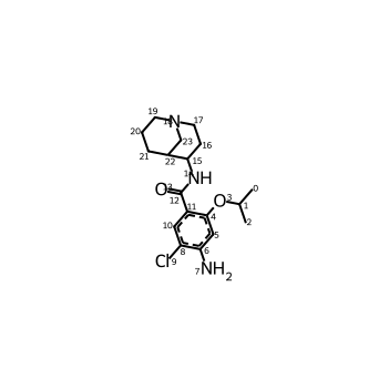 CC(C)Oc1cc(N)c(Cl)cc1C(=O)NC1CCN2CCCC1C2